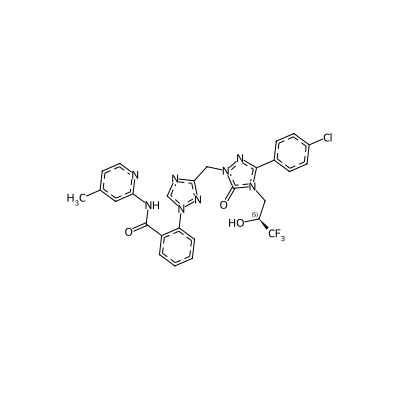 Cc1ccnc(NC(=O)c2ccccc2-n2cnc(Cn3nc(-c4ccc(Cl)cc4)n(C[C@H](O)C(F)(F)F)c3=O)n2)c1